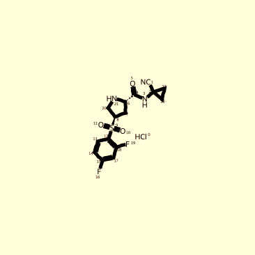 Cl.N#CC1(NC(=O)[C@@H]2C[C@@H](S(=O)(=O)c3ccc(F)cc3F)CN2)CC1